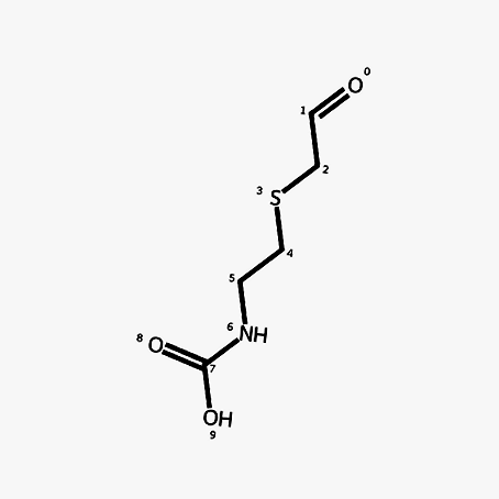 O=CCSCCNC(=O)O